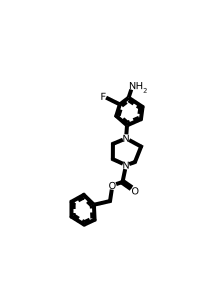 Nc1ccc(N2CCN(C(=O)OCc3ccccc3)CC2)cc1F